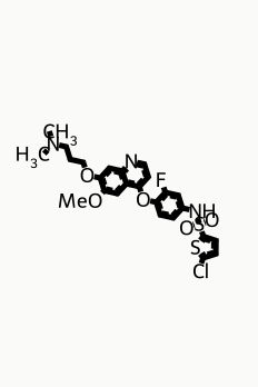 COc1cc2c(Oc3ccc(NS(=O)(=O)c4ccc(Cl)s4)cc3F)ccnc2cc1OCCCN(C)C